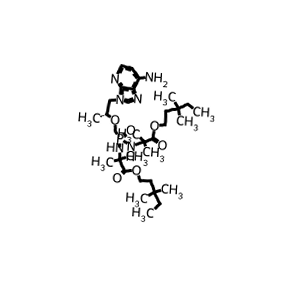 CCC(C)(C)CCOC(=O)C(C)(C)NP(=O)(CO[C@H](C)Cn1cnc2c(N)ccnc21)NC(C)(C)C(=O)OCCC(C)(C)CC